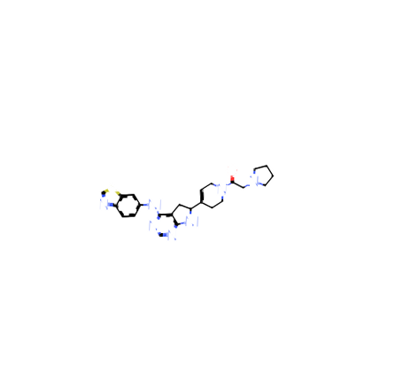 O=C(CN1CCCC1)N1CC=C(C2Cc3c(Nc4ccc5ncsc5c4)ncnc3N2)CC1